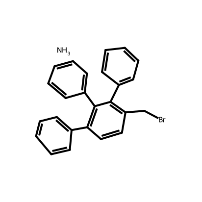 BrCc1ccc(-c2ccccc2)c(-c2ccccc2)c1-c1ccccc1.N